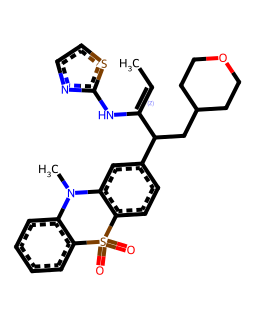 C/C=C(\Nc1nccs1)C(CC1CCOCC1)c1ccc2c(c1)N(C)c1ccccc1S2(=O)=O